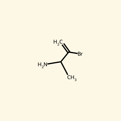 C=C(Br)C(C)N